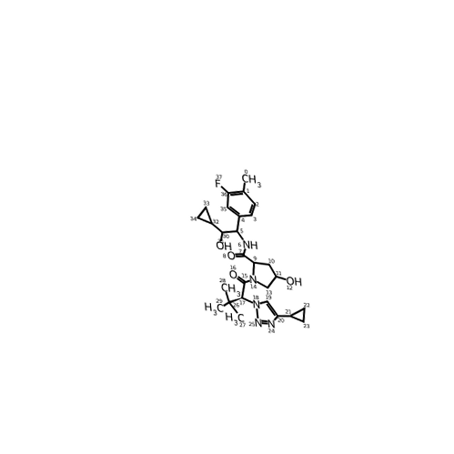 Cc1ccc(C(NC(=O)C2CC(O)CN2C(=O)[C@@H](n2cc(C3CC3)nn2)C(C)(C)C)C(O)C2CC2)cc1F